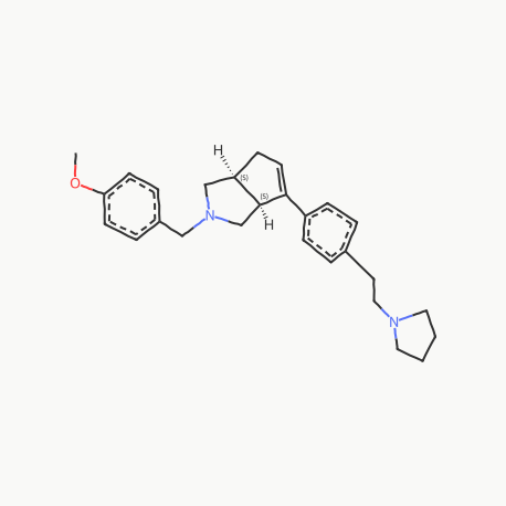 COc1ccc(CN2C[C@H]3CC=C(c4ccc(CCN5CCCC5)cc4)[C@H]3C2)cc1